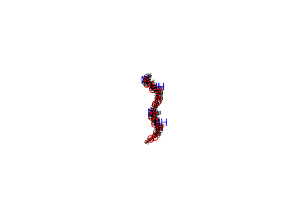 CCCCOCCOc1ccc(-c2ccc(OC)c(/C=C/C(=O)Nc3ccc([S+]([O-])Cc4c(C)nc(CCCCOCCOc5ccc(-c6ccc(OC)c(/C=C/C(=O)Nc7ccc([S@@+]([O-])Cc8c(C)ncn8CCC)cc7)c6)cc5)n4CCC)cc3)c2)cc1